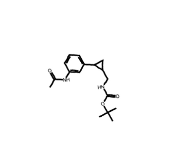 CC(=O)Nc1cccc(C2CC2CNC(=O)OC(C)(C)C)c1